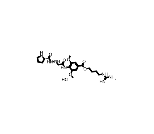 COc1cc(C(=O)OCCCCNC(=N)N)cc(OC)c1NC(=O)CNNC(=O)[C@@H]1CCCN1.Cl